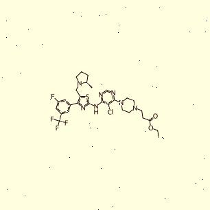 CCOC(=O)CCN1CCN(c2ncnc(Nc3nc(-c4cc(F)cc(C(F)(F)F)c4)c(CN4CCC[C@H]4C)s3)c2Cl)CC1